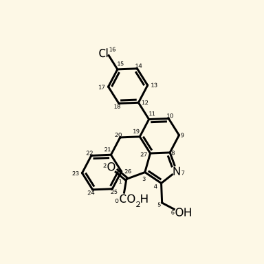 O=C(O)C(=O)C1=C(CO)N=C2CC=C(c3ccc(Cl)cc3)C(Cc3ccccc3)=C21